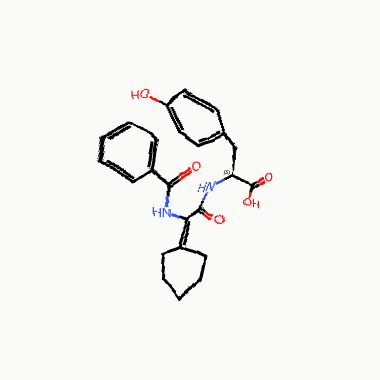 O=C(N[C@@H](Cc1ccc(O)cc1)C(=O)O)C(NC(=O)c1ccccc1)=C1CCCCC1